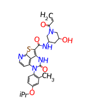 C=CC(=O)N1CC(O)C[C@@H](NC(=O)c2sc3nccc4c3c2NC(=O)N4c2ccc(OC(C)C)cc2C)C1